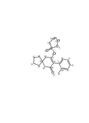 CCCSP(=O)(OCC)OC1=C(c2ccccc2C)C(=O)CC2(CCCC2)C1